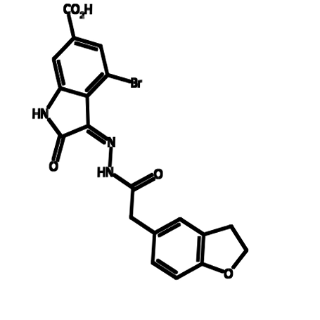 O=C(Cc1ccc2c(c1)CCO2)NN=C1C(=O)Nc2cc(C(=O)O)cc(Br)c21